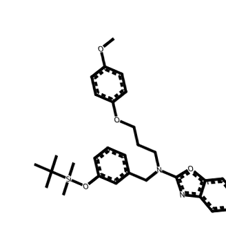 COc1ccc(OCCCN(Cc2cccc(O[Si](C)(C)C(C)(C)C)c2)c2nc3ccccc3o2)cc1